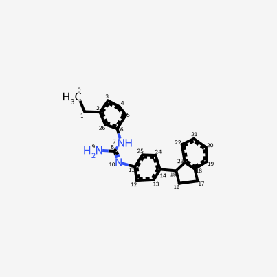 CCc1cccc(NC(N)=Nc2ccc(C3CCc4ccccc43)cc2)c1